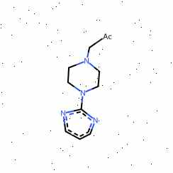 CC(=O)CN1CCN(c2ncccn2)CC1